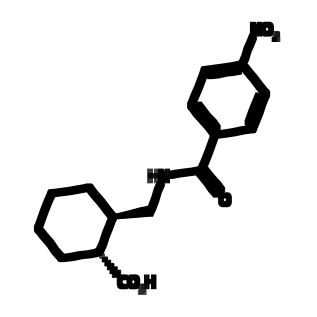 O=C(NC[C@@H]1CCCC[C@H]1C(=O)O)c1ccc([N+](=O)[O-])cc1